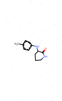 Cc1ccc(NC2CCCNC2=O)cc1